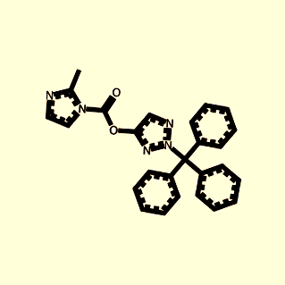 Cc1nccn1C(=O)Oc1cnn(C(c2ccccc2)(c2ccccc2)c2ccccc2)n1